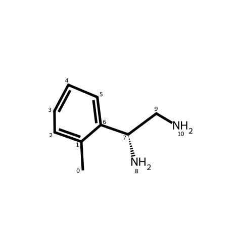 Cc1ccccc1[C@@H](N)CN